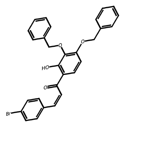 O=C(/C=C\c1ccc(Br)cc1)c1ccc(OCc2ccccc2)c(OCc2ccccc2)c1O